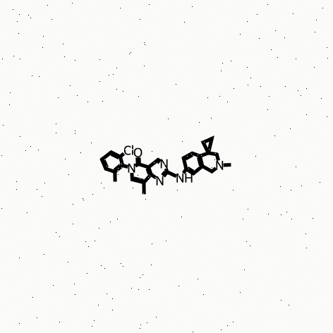 Cc1cccc(Cl)c1-n1cc(C)c2nc(Nc3ccc4c(c3)CN(C)CC43CC3)ncc2c1=O